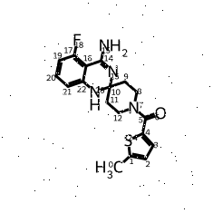 Cc1ccc(C(=O)N2CCC3(CC2)N=C(N)c2c(F)cccc2N3)s1